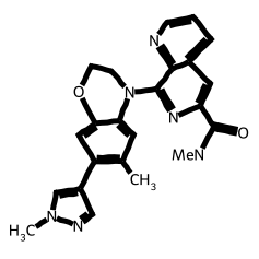 CNC(=O)c1cc2cccnc2c(N2CCOc3cc(-c4cnn(C)c4)c(C)cc32)n1